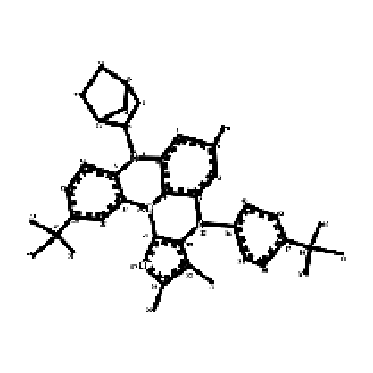 Cc1cc2c3c(c1)N(C1CC4CCC1C4)c1ccc(C(C)(C)C)cc1B3c1oc(C)c(C)c1N2c1ccc(C(C)(C)C)cc1